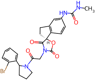 CNC(=O)Nc1ccc2c(c1)CC[C@@]21OC(=O)N(CC(=O)N2CCCC2c2ccccc2Br)C1=O